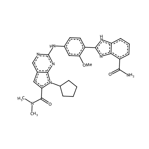 COc1cc(Nc2ncc3cc(C(=O)N(C)C)n(C4CCCC4)c3n2)ccc1-c1nc2c(C(N)=O)cccc2[nH]1